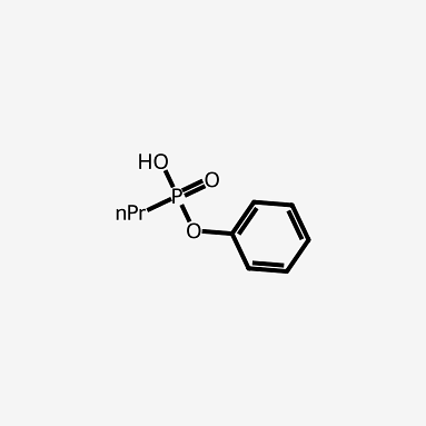 [CH2]CCP(=O)(O)Oc1ccccc1